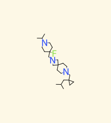 CC(C)CC1(CN2CCC3(CC2)CN(CC2(F)CCN(C(C)C)CC2)C3)CC1